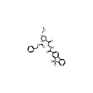 COC[C@H]1C[C@@H](C(=O)OCc2ccccc2)N(C(=O)CNC(=O)c2ccc3c(c2)S(=O)(=O)c2ccccc2-3)C1